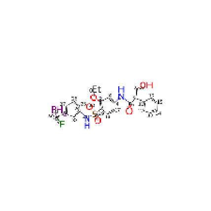 CCOc1cc(NC(=O)[C@@H](CO)c2ccccc2)ccc1S(=O)(=O)Nc1cccc(C(C)(F)P)c1